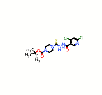 CC(C)(C)OC(=O)N1CCN(C(=S)NNC(=O)c2cnc(Cl)cc2Cl)CC1